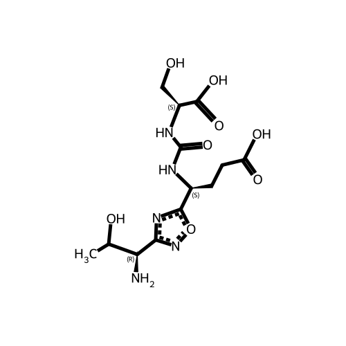 CC(O)[C@H](N)c1noc([C@H](CCC(=O)O)NC(=O)N[C@@H](CO)C(=O)O)n1